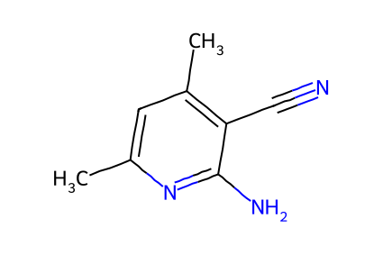 Cc1cc(C)c(C#N)c(N)n1